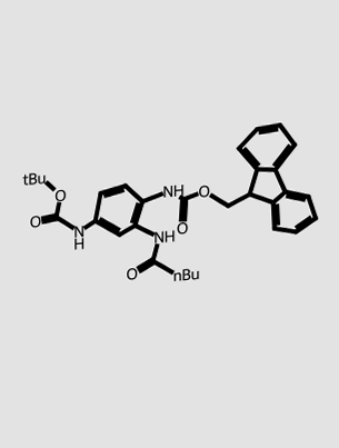 CCCCC(=O)Nc1cc(NC(=O)OC(C)(C)C)ccc1NC(=O)OCC1c2ccccc2-c2ccccc21